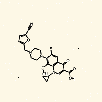 COc1c(N2CCN(Cc3ccc(C#N)o3)CC2)c(F)cc2c(=O)c(C(=O)O)cn(C3CC3)c12